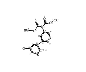 CC(C)(C)OC(=O)N(C(=O)OC(C)(C)C)c1cnnc(-c2cc(Cl)ccc2F)c1